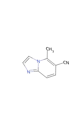 Cc1c(C#N)ccc2nccn12